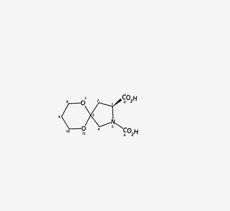 O=C(O)[C@@H]1CC2(CN1C(=O)O)OCCCO2